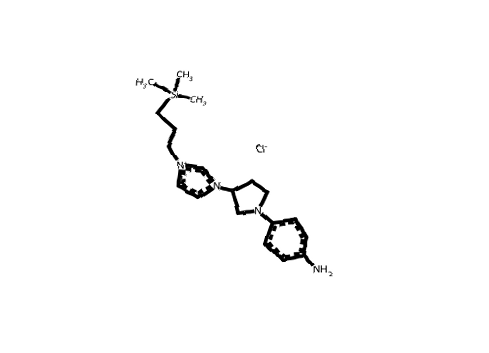 C[Si](C)(C)CCC[n+]1ccn(C2CCN(c3ccc(N)cc3)C2)c1.[Cl-]